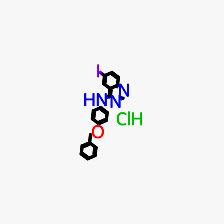 Cl.Ic1ccc2ncnc(Nc3ccc(OCc4ccccc4)cc3)c2c1